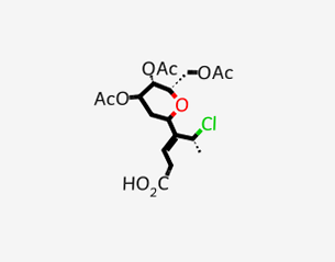 CC(=O)OC[C@@H]1OC(/C(=C/CC(=O)O)[C@@H](C)Cl)CC(OC(C)=O)[C@@H]1OC(C)=O